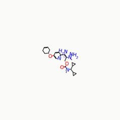 CN(N)/C(COC(=O)N(C)C(C1CC1)C1CC1)=C(\N)c1ccc(OC2CC=CCC2)cn1